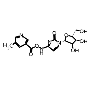 Cc1cncc(C(=O)ONc2ccn([C@@H]3O[C@H](CO)[C@@H](O)[C@H]3O)c(=O)n2)c1